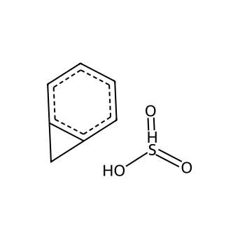 O=[SH](=O)O.c1ccc2c(c1)C2